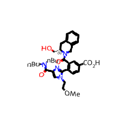 CCCCN(CCCC)C(=O)c1cn(CCOC)c(-c2ccc(C(=O)O)cc2C(=O)N2Cc3ccccc3C[C@H]2CO)n1